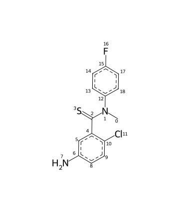 CN(C(=S)c1cc(N)ccc1Cl)c1ccc(F)cc1